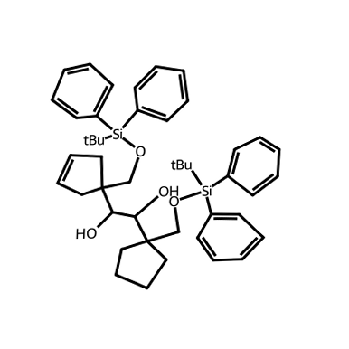 CC(C)(C)[Si](OCC1(C(O)C(O)C2(CO[Si](c3ccccc3)(c3ccccc3)C(C)(C)C)CCCC2)CC=CC1)(c1ccccc1)c1ccccc1